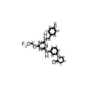 O=C1CCCN1c1cccc(Nc2nc(NCc3ccc(F)cc3)nc(OCC(F)(F)F)n2)c1